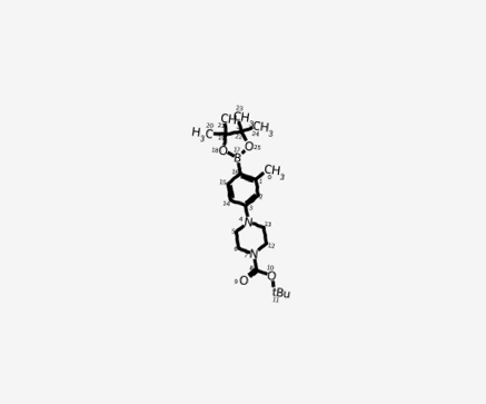 Cc1cc(N2CCN(C(=O)OC(C)(C)C)CC2)ccc1B1OC(C)(C)C(C)(C)O1